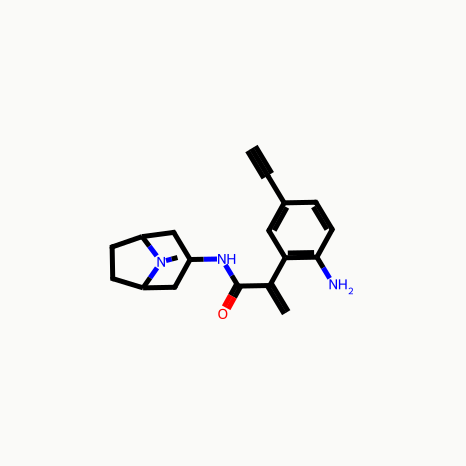 C#Cc1ccc(N)c(C(=C)C(=O)NC2CC3CCC(C2)N3C)c1